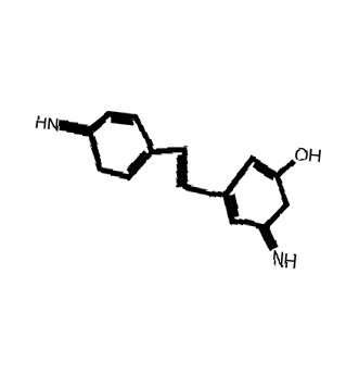 N=C1C=CC(C=CC2=CC(=N)CC(O)=C2)=CC1